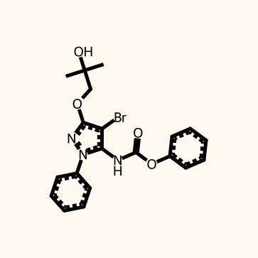 CC(C)(O)COc1nn(-c2ccccc2)c(NC(=O)Oc2ccccc2)c1Br